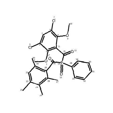 COc1c(Cl)cc(Cl)c(OC)c1C(=O)P(=O)(C(=O)c1c(C)cc(C)c(C)c1C)c1ccccc1